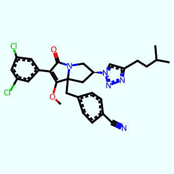 COC1=C(c2cc(Cl)cc(Cl)c2)C(=O)N2C[C@@H](n3cc(CCC(C)C)nn3)CC12Cc1ccc(C#N)cc1